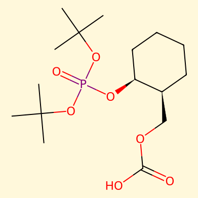 CC(C)(C)OP(=O)(O[C@H]1CCCC[C@H]1COC(=O)O)OC(C)(C)C